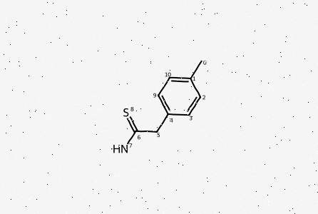 Cc1ccc(CC([NH])=S)cc1